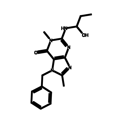 CCC(O)Nc1nc2nc(C)n(Cc3ccccc3)c2c(=O)n1C